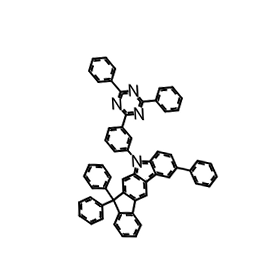 c1ccc(-c2ccc3c(c2)c2cc4c(cc2n3-c2cccc(-c3nc(-c5ccccc5)nc(-c5ccccc5)n3)c2)C(c2ccccc2)(c2ccccc2)c2ccccc2-4)cc1